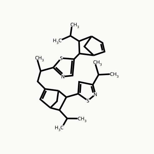 CC(C)c1cc(C2C3CC(C=C3CC(C)c3ncc(C4C5C=CC(C5)C4C(C)C)s3)C2C(C)C)sn1